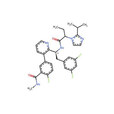 CCC(C(=O)N[C@@H](Cc1cc(F)cc(F)c1)c1ncccc1-c1ccc(F)c(C(=O)NC)c1)n1ccnc1C(C)C